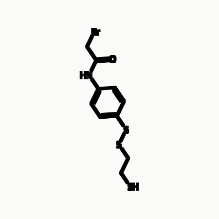 O=C(CBr)Nc1ccc(SSCCS)cc1